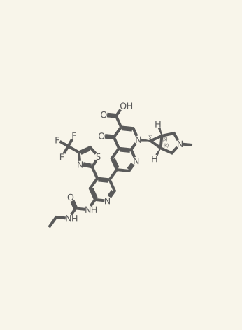 CCNC(=O)Nc1cc(-c2nc(C(F)(F)F)cs2)c(-c2cnc3c(c2)c(=O)c(C(=O)O)cn3[C@H]2[C@@H]3CN(C)C[C@@H]32)cn1